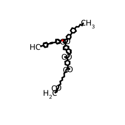 C#Cc1ccc(C#Cc2ccc(C#CC3(OC(=O)c4ccc5cc(OC(=O)C6CCC(C(=O)OCCCCCCCCOC(=O)C=C)CC6)ccc5c4)CCC(C4CCC(CCCCC)CC4)CC3)cc2)cc1